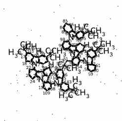 CC(C)(C)c1ccc2c(c1)c1cc(C(C)(C)C)ccc1n2-c1cccc2c1c1cccc3c4c(-n5c6ccc(C(C)(C)C)cc6c6cc(C(C)(C)Cc7ccc(-n8c9ccccc9c9cc(C(C)(C)C)ccc98)c8c9cccc%10c%11c(-n%12c%13ccccc%13c%13cc(C(C)(C)C)ccc%13%12)cccc%11n(c78)c%109)ccc65)cccc4n2c13